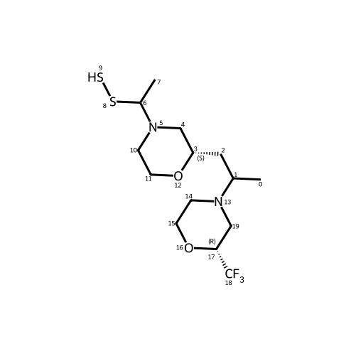 CC(C[C@H]1CN(C(C)SS)CCO1)N1CCO[C@@H](C(F)(F)F)C1